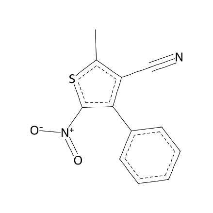 Cc1sc([N+](=O)[O-])c(-c2ccccc2)c1C#N